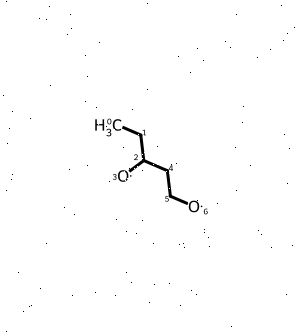 CCC([O])CC[O]